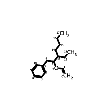 C=COC(Cc1ccccc1)C(CC)CCCC